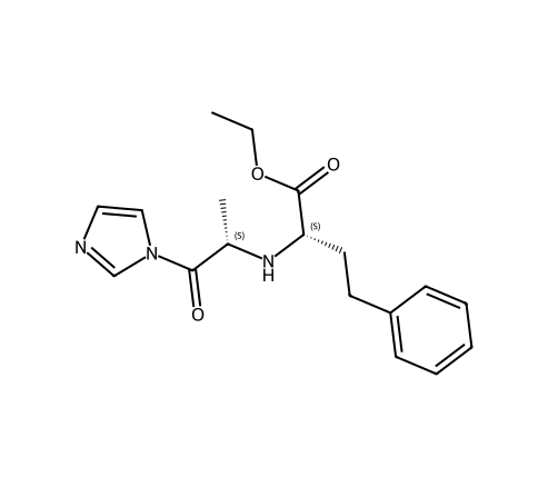 CCOC(=O)[C@H](CCc1ccccc1)N[C@@H](C)C(=O)n1ccnc1